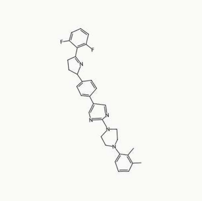 Cc1cccc(N2CCN(c3ncc(-c4ccc(C5CCC(c6c(F)cccc6F)=N5)cc4)cn3)CC2)c1C